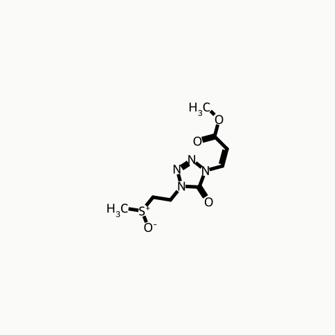 COC(=O)/C=C\n1nnn(CC[S+](C)[O-])c1=O